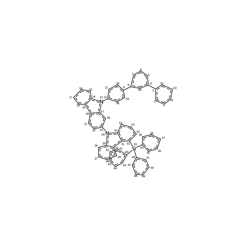 c1ccc(-c2cccc(-c3ccc(-n4c5ccccc5c5ccc(-n6c7ccccc7c7c([Si](c8ccccc8)(c8ccccc8)c8ccccc8)cccc76)cc54)cc3)c2)cc1